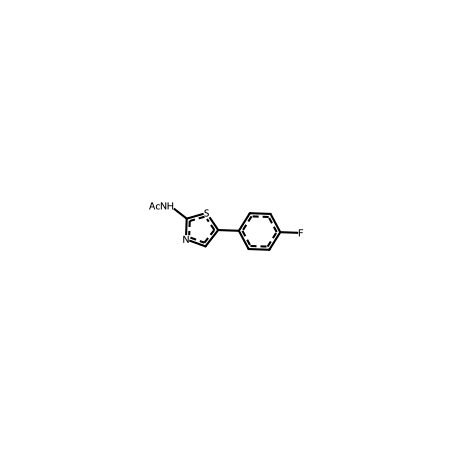 CC(=O)Nc1ncc(-c2ccc(F)cc2)s1